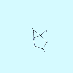 CC12CSCC1C2